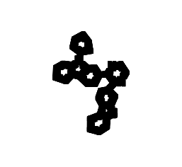 c1ccc(-n2c3ccccc3c3ccc(-c4nccnc4-c4ccc5c(c4)sc4ccccc45)cc32)cc1